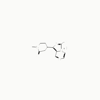 CN1CCC(C2=C3C=NC=C[N+]3(Cl)C(Br)=N2)CC1=O